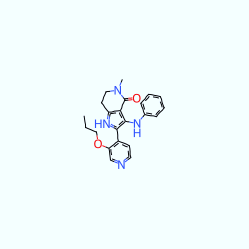 CCCOc1cnccc1-c1[nH]c2c(c1Nc1ccccc1)C(=O)N(C)CC2